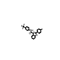 Cc1ccc(-c2nc(C(=O)Nc3ccc(C(F)(F)F)cc3)c3ccccc3n2)cc1